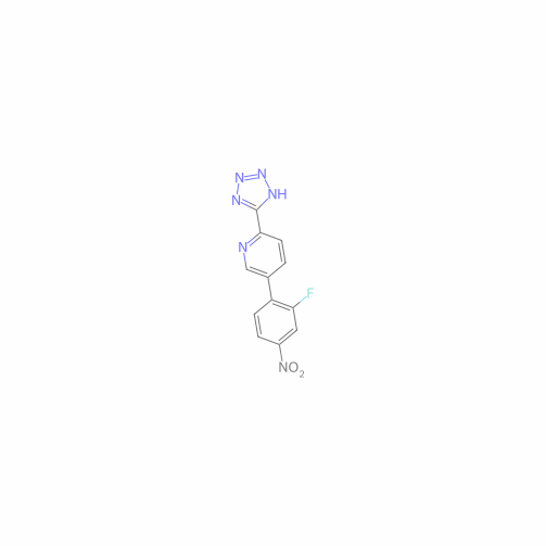 O=[N+]([O-])c1ccc(-c2ccc(-c3nnn[nH]3)nc2)c(F)c1